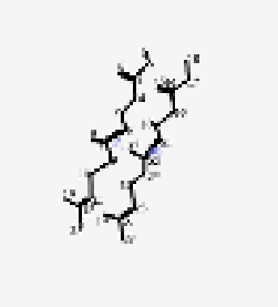 C=C(CC)CC/C=C(\C)CCC=C(C)C.C=C(CC)CC/C=C(\C)CCC=C(C)C